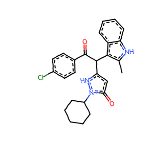 Cc1[nH]c2ccccc2c1C(C(=O)c1ccc(Cl)cc1)c1cc(=O)n(C2CCCCC2)[nH]1